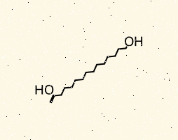 C=C(O)CCCCCCCCCCCCCO